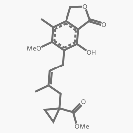 COC(=O)C1(CC(C)=CCc2c(O)c3c(c(C)c2OC)COC3=O)CC1